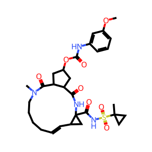 COc1cccc(NC(=O)OC2CC3C(=O)NC4(C(=O)NS(=O)(=O)C5(C)CC5)CC4/C=C/CCCCN(C)C(=O)C3C2)c1